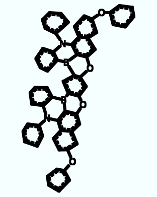 c1ccc(Oc2ccc3c4c5c(cc3c2)Oc2cc3c(cc2B5c2ccccc2N4c2ccccc2)B2c4ccccc4N(c4ccccc4)c4c2c(cc2cc(Oc5ccccc5)ccc42)O3)cc1